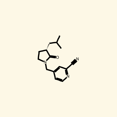 C[C](C)C[C@H]1CCN(Cc2ccnc(C#N)c2)C1=O